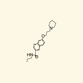 CCCNC(=O)c1ccc2cc(OCCCN3CCCCC3)ccc2c1